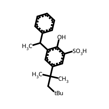 CC(c1ccccc1)c1cc(C(C)(C)CC(C)(C)C)cc(S(=O)(=O)O)c1O